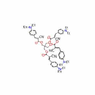 CCN(CC)c1ccc(/C=C(\C#N)C(=O)OCC(COC(=O)/C(C#N)=C/c2ccc(N(CC)CC)cc2)(COC(=O)/C(C#N)=C/c2ccc(N(CC)CC)cc2)COC(=O)/C(C#N)=C/c2ccc(N(CC)CC)cc2)cc1